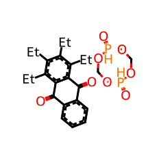 CCc1c(CC)c(CC)c2c(c1CC)C(=O)c1ccccc1C2=O.O=[PH]1OCO[PH](=O)OCO1